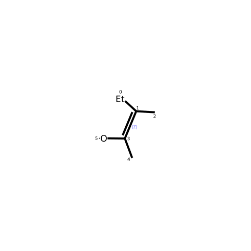 CC/C(C)=C(/C)[O]